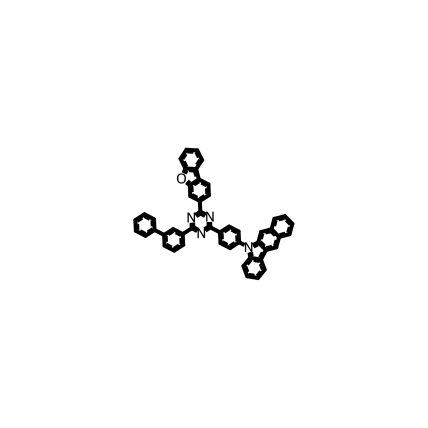 c1ccc(-c2cccc(-c3nc(-c4ccc(-n5c6ccccc6c6cc7ccccc7cc65)cc4)nc(-c4ccc5c(c4)oc4ccccc45)n3)c2)cc1